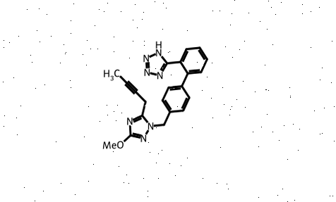 CC#CCc1nc(OC)nn1Cc1ccc(-c2ccccc2-c2nnn[nH]2)cc1